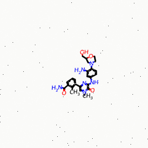 Cc1c(C(N)=O)cccc1-c1cn(C)c(=O)c(Nc2ccc(N3CCOC(CO)C3)c(N)c2)n1